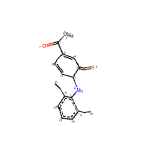 COC(=O)C1=CC(=S)C(Nc2c(C)cccc2C)C=C1